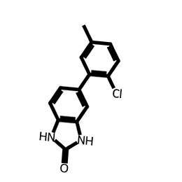 Cc1ccc(Cl)c(-c2ccc3[nH]c(=O)[nH]c3c2)c1